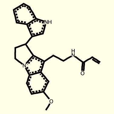 C=CC(=O)NCCc1c2n(c3ccc(OC)cc13)CCC2c1c[nH]c2ccccc12